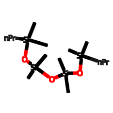 CCC[Si](C)(C)O[Si](C)(C)O[Si](C)(C)O[Si](C)(C)CCC